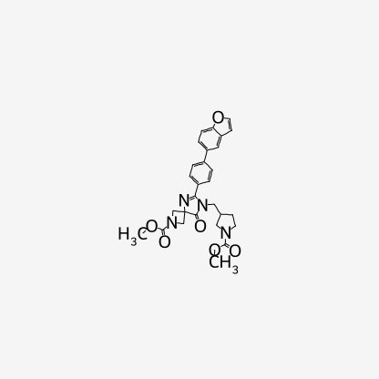 COC(=O)N1CCC(CN2C(=O)C3(CN(C(=O)OC)C3)N=C2c2ccc(-c3ccc4occc4c3)cc2)C1